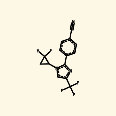 N#Cc1ccc(-c2nc(C(F)(F)F)cn2C2CC2(F)F)cc1